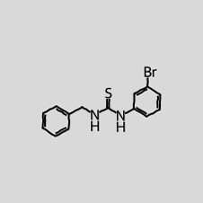 S=C(NCc1ccccc1)Nc1cccc(Br)c1